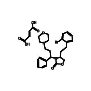 O=C(O)C=CC(=O)O.O=C1OCC(CCc2ccccc2Br)N1C(CCN1CCOCC1)c1ccccc1